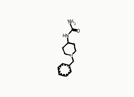 NC(=O)NC1CCN(Cc2ccccc2)CC1